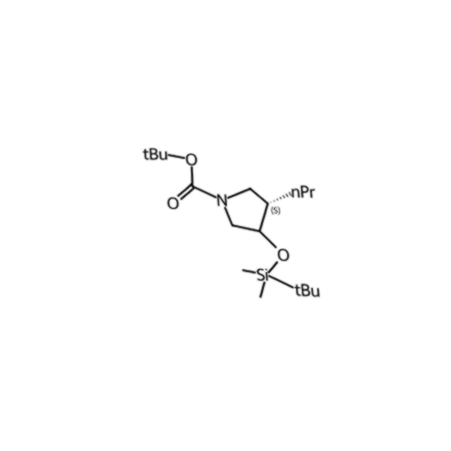 CCC[C@H]1CN(C(=O)OC(C)(C)C)CC1O[Si](C)(C)C(C)(C)C